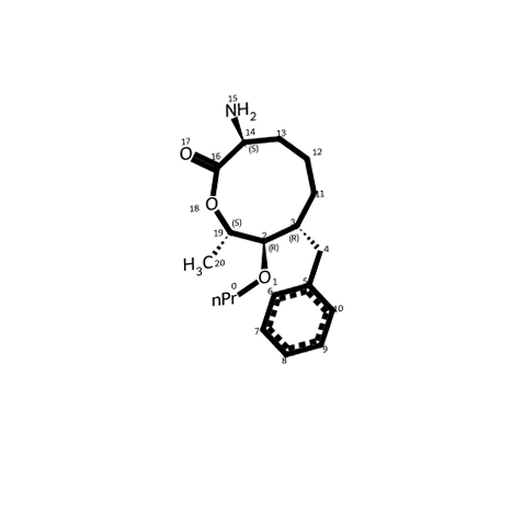 CCCO[C@@H]1[C@@H](Cc2ccccc2)CCC[C@H](N)C(=O)O[C@H]1C